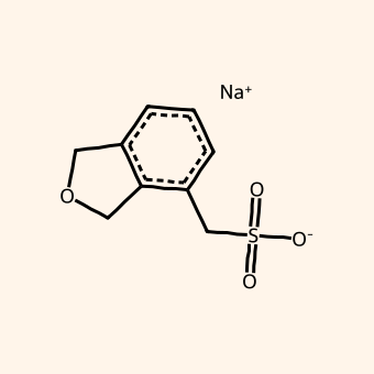 O=S(=O)([O-])Cc1cccc2c1COC2.[Na+]